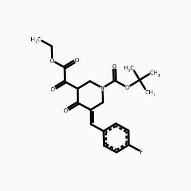 CCOC(=O)C(=O)C1CN(C(=O)OC(C)(C)C)C/C(=C\c2ccc(F)cc2)C1=O